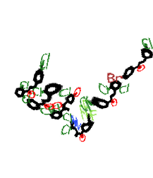 C=C(C(=O)c1ccc(C(F)(F)F)cc1)c1nn(C)cc1Cl.C=C(C(=O)c1ccc(OC)cc1)c1c(Cl)cccc1Cl.O=C(C=Cc1c(Cl)cccc1Cl)c1ccc(Cl)cc1.O=C(C=Cc1c(Cl)cccc1Cl)c1ccccc1Cl.O=C(C=Cc1ccc(Cl)cc1)c1c(Cl)cccc1Cl.O=C(C=Cc1ccc(Cl)cc1)c1ccc(Br)cc1